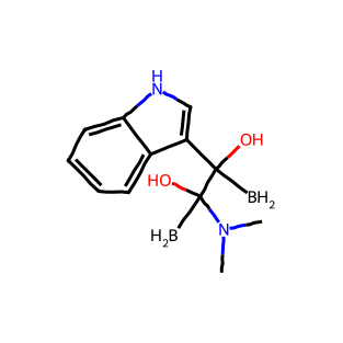 BC(O)(c1c[nH]c2ccccc12)C(B)(O)N(C)C